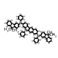 CC1(C)c2ccccc2-c2cc(N(c3ccccc3)c3ccc4cc5c6ccc(N(c7ccccc7)c7ccc8c(c7)-c7ccccc7C8(C)C)cc6n(-c6ccccc6)c5cc4c3)ccc21